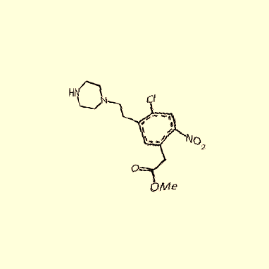 COC(=O)Cc1cc(CCN2CCNCC2)c(Cl)cc1[N+](=O)[O-]